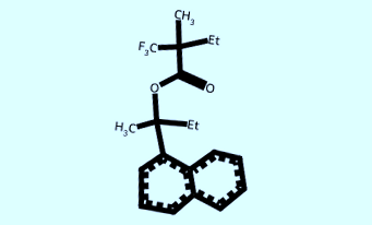 CCC(C)(OC(=O)C(C)(CC)C(F)(F)F)c1cccc2ccccc12